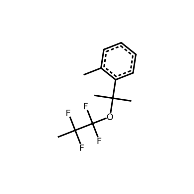 Cc1ccccc1C(C)(C)OC(F)(F)C(C)(F)F